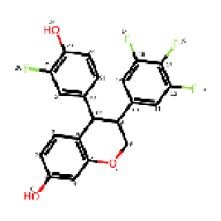 Oc1ccc2c(c1)OCC(c1cc(F)c(F)c(F)c1)C2c1ccc(O)c(F)c1